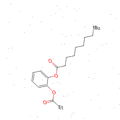 CCC(=O)Oc1ccccc1OC(=O)CCCCCCCC(C)(C)C